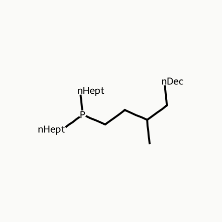 CCCCCCCCCCCC(C)CCP(CCCCCCC)CCCCCCC